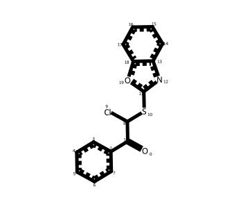 O=C(c1ccccc1)C(Cl)Sc1nc2ccccc2o1